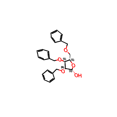 O[C@H]1O[C@@H](COCc2ccccc2)[C@H](OCc2ccccc2)[C@H]1OCc1ccccc1